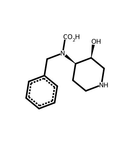 O=C(O)N(Cc1ccccc1)[C@@H]1CCNC[C@@H]1O